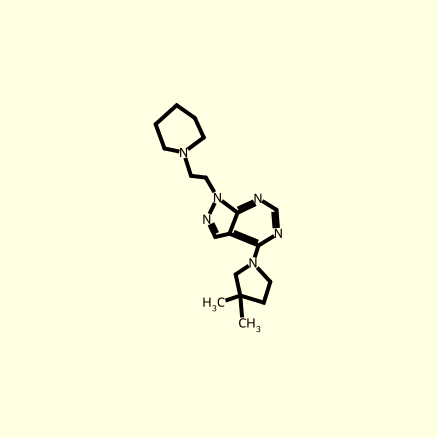 CC1(C)CCN(c2ncnc3c2cnn3CCN2CCCCC2)C1